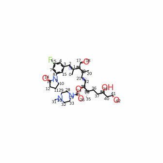 C/C(=C\c1cc(F)cc(N2CCCC2=O)c1)[C@@H](C=O)[C@@H](C)/C=C/[C@H](OC(=O)N1CCN(C)CC1)[C@@H](C)CC[C@@H](O)CC=O